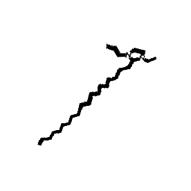 CCCCCCCCCCCCCCCCCCCC1N(CC)C=CN1CCC